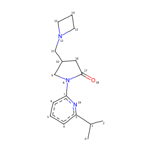 CC(C)c1cccc(N2CC(CN3CCC3)CC2=O)n1